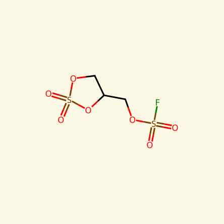 O=S(=O)(F)OCC1COS(=O)(=O)O1